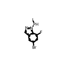 Fc1cc(Br)cc2cnn(PI)c12